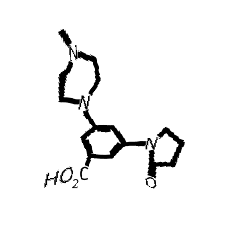 CN1CCN(c2cc(C(=O)O)cc(N3CCCC3=O)c2)CC1